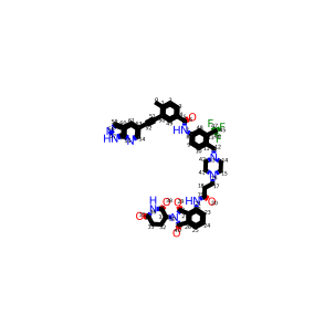 Cc1ccc(C(=O)Nc2ccc(CN3CCN(CCC(=O)Nc4cccc5c4C(=O)N(C4CCC(=O)NC4=O)C5=O)CC3)c(C(F)(F)F)c2)cc1C#Cc1cnc2[nH]ncc2c1